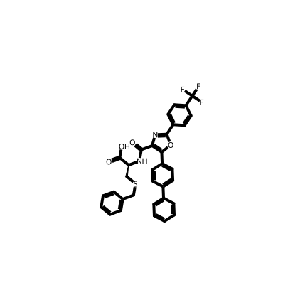 O=C(N[C@@H](CSCc1ccccc1)C(=O)O)c1nc(-c2ccc(C(F)(F)F)cc2)oc1-c1ccc(-c2ccccc2)cc1